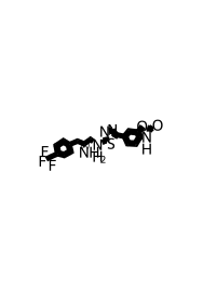 N[C@@H](CNc1nnc(-c2ccc3[nH]c(=O)oc3c2)s1)Cc1ccc(C(F)(F)F)cc1